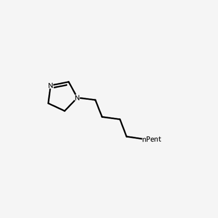 CCCCCCCCCN1C=NCC1